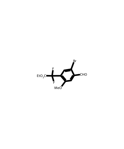 CCOC(=O)C(F)(F)c1cc(Br)c(C=O)cc1OC